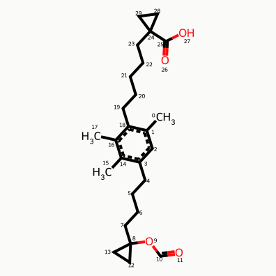 Cc1cc(CCCCC2(OC=O)CC2)c(C)c(C)c1CCCCCC1(C(=O)O)CC1